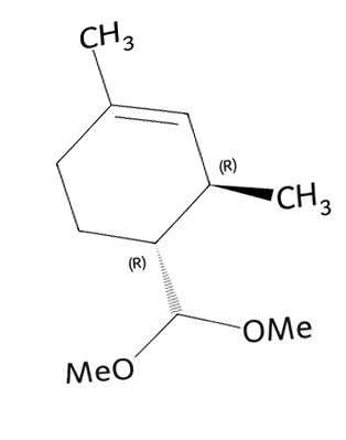 COC(OC)[C@@H]1CCC(C)=C[C@H]1C